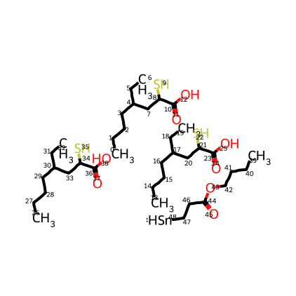 CCCCC(CC)CC(S)C(=O)O.CCCCC(CC)CC(S)C(=O)O.CCCCC(CC)CC(S)C(=O)O.CCCCOC(=O)C[CH2][SnH]